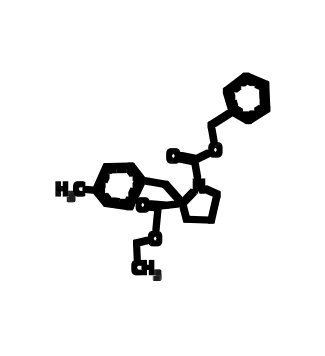 CCOC(=O)C1(Cc2ccc(C)cc2)CCCN1C(=O)OCc1ccccc1